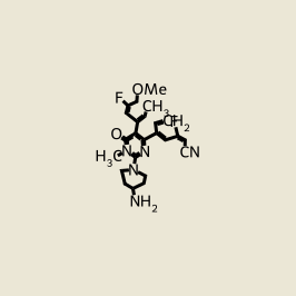 C=C/C(=C\C(F)=C/C#N)c1nc(N2CCC(N)CC2)n(C)c(=O)c1C(/C=C(/F)COC)=C/C